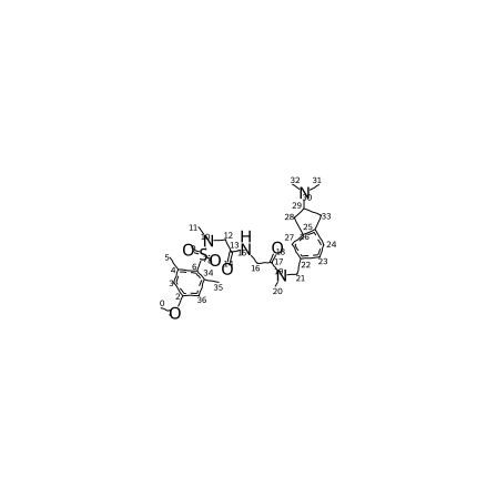 COc1cc(C)c(S(=O)(=O)N(C)CC(=O)NCC(=O)N(C)Cc2ccc3c(c2)CC(N(C)C)C3)c(C)c1